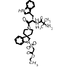 CCOC(=O)CS(=O)(=O)N1CC2(CCN(C(=O)[C@@H](Cc3c[nH]c4ccccc34)NC(=O)C(C)(C)N)CC2)c2ccccc21